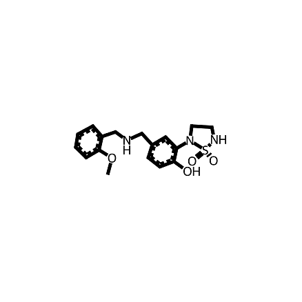 COc1ccccc1CNCc1ccc(O)c(N2CCNS2(=O)=O)c1